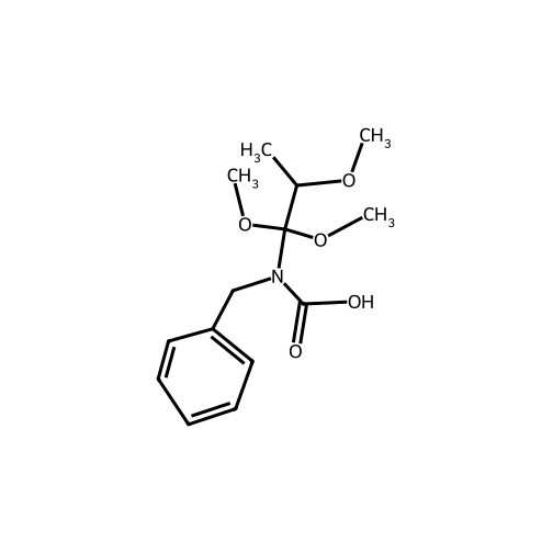 COC(C)C(OC)(OC)N(Cc1ccccc1)C(=O)O